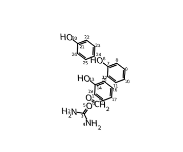 C=O.NC(N)=O.Oc1ccccc1.Oc1ccccc1.Oc1ccccc1